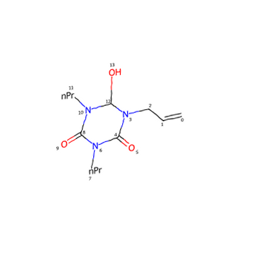 C=CCN1C(=O)N(CCC)C(=O)N(CCC)C1O